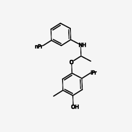 CCCc1cccc(NC(C)Oc2cc(C)c(O)cc2C(C)C)c1